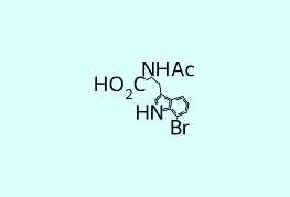 CC(=O)NC(Cc1c[nH]c2c(Br)cccc12)C(=O)O